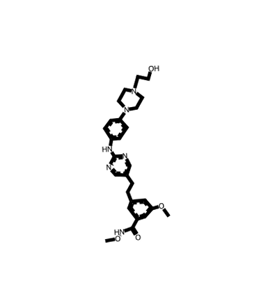 CONC(=O)c1cc(CCc2cnc(Nc3ccc(N4CCN(CCO)CC4)cc3)nc2)cc(OC)c1